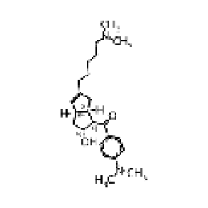 CN(C)CCCCCC1=C[C@H]2C[C@@H](O)[C@H](C(=O)c3ccc(N(C)C)cc3)[C@H]2C1